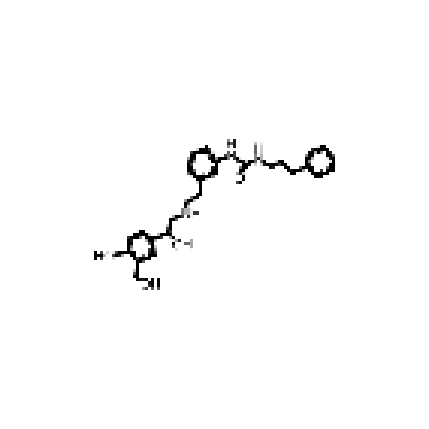 O=C(NCCCc1ccccc1)Nc1cccc(CCNC[C@@H](O)c2ccc(O)c(CO)c2)c1